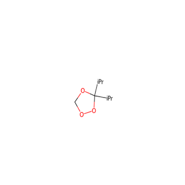 CC(C)C1(C(C)C)OCOO1